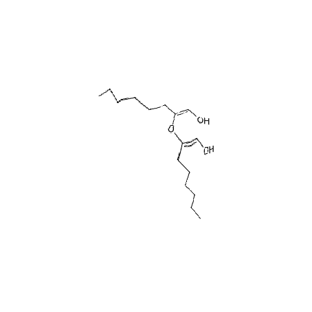 CCCCCCC(=CO)OC(=CO)CCCCCC